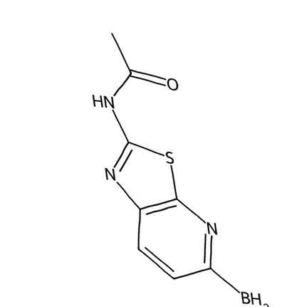 Bc1ccc2nc(NC(C)=O)sc2n1